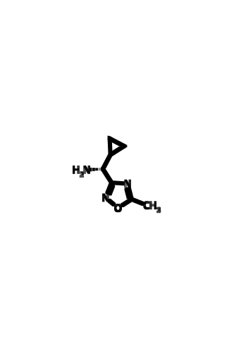 Cc1nc([C@H](N)C2CC2)no1